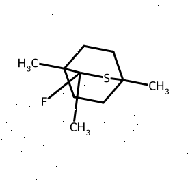 CC12CCC(C)(CC1)C(C)(F)S2